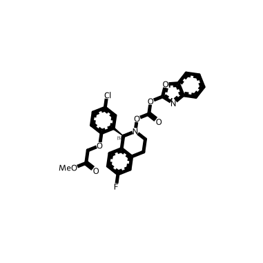 COC(=O)COc1ccc(Cl)cc1[C@@H]1c2ccc(F)cc2CCN1OC(=O)Oc1nc2ccccc2o1